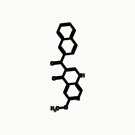 COc1cc2c(=O)c(C(=O)c3ccc4ccccc4c3)c[nH]c2cn1